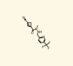 CN(NCc1ccc(C(F)(F)F)cn1)C(=O)C12CC(C#N)(C1)C2